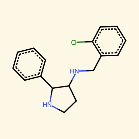 Clc1ccccc1CNC1CCNC1c1ccccc1